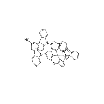 N#Cc1ccc2c(c1)c1ccccc1n2-c1ccc2c(c1)Oc1cccc(-n3c4ccccc4c4ccccc43)c1C21c2cccnc2-c2ncc(-n3c4ccccc4c4ccccc43)cc21